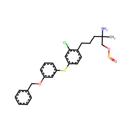 CC(N)(CCCc1ccc(Sc2cccc(OCc3ccccc3)c2)cc1Cl)COP=O